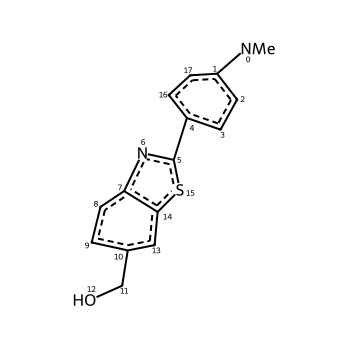 [11CH3]Nc1ccc(-c2nc3ccc(CO)cc3s2)cc1